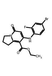 CCOC(=O)c1c(Nc2ccc(Br)cc2F)cc(=O)n2c1CCC2